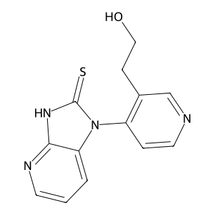 OCCc1cnccc1-n1c(=S)[nH]c2ncccc21